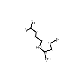 O=C(O)[C@H](CSS)NCCCC(O)O